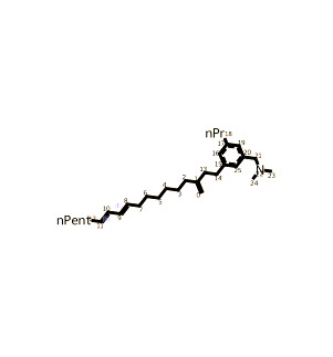 C=C(CCCCCC/C=C/C=C/CCCCC)CCc1cc(CCC)cc(CN(C)C)c1